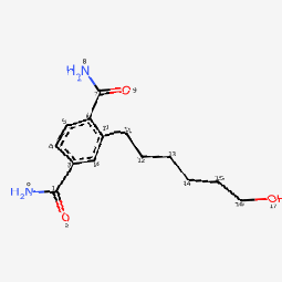 NC(=O)c1ccc(C(N)=O)c(CCCCCCO)c1